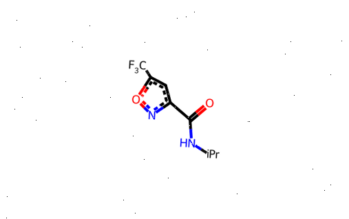 CC(C)NC(=O)c1cc(C(F)(F)F)on1